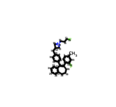 Cc1ccc(C2=C(c3ccc(CC4CN(CCCF)C4)cc3)c3ccccc3CCC2)c(F)c1